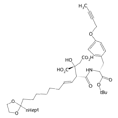 CC#CCOc1ccc(C[C@@H](NC(=O)[C@H](/C=C/CCCCCCC2(CCCCCCC)OCCO2)[C@](O)(CC(=O)O)C(=O)O)C(=O)OC(C)(C)C)cc1